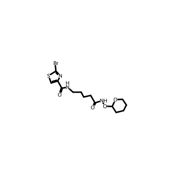 O=C(CCCCNC(=O)c1csc(Br)n1)NOC1CCCCO1